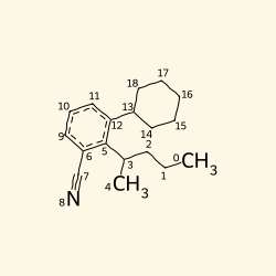 CCCC(C)c1c(C#N)cccc1C1CCCCC1